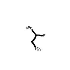 CCCCC(F)CCC